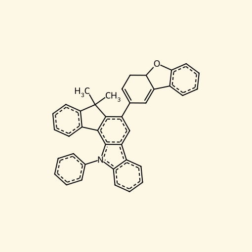 CC1(C)c2ccccc2-c2c1c(C1=CCC3Oc4ccccc4C3=C1)cc1c3ccccc3n(-c3ccccc3)c21